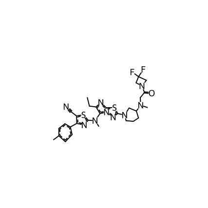 CCc1nc2sc(N3CCCC(N(C)CC(=O)N4CC(F)(F)C4)C3)nn2c1N(C)c1nc(-c2ccc(C)cc2)c(C#N)s1